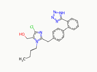 CCCCn1c(Cc2ccc(-c3ccccc3-c3nnn[nH]3)cc2)nc(Cl)c1CO